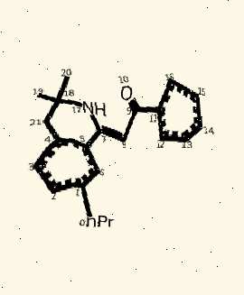 CCCc1ccc2c(c1)C(=CC(=O)c1ccccc1)NC(C)(C)C2